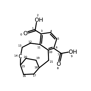 O=C(O)c1ccc(C(=O)O)c2c1CCCC1CCC(CC1)C2